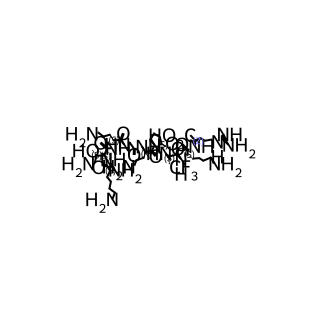 N=C(N)NCC/C=C(\NC(=O)[C@H](CCCCN)NC(=O)[C@H](CC(F)(F)F)NC(=O)[C@@H]1CCCN1C(=O)[C@@H](CCCN)NC(=O)CNC(=O)[C@H](CCCN)NC(=O)[C@@H](NC(=O)[C@@H](N)CCCCN)[C@@H](O)CN)C(=O)O